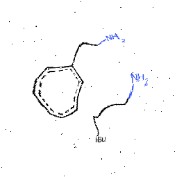 CCC(C)CCN.NCc1ccccc1